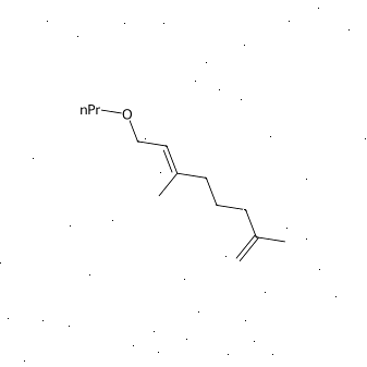 C=C(C)CCC/C(C)=C/COCCC